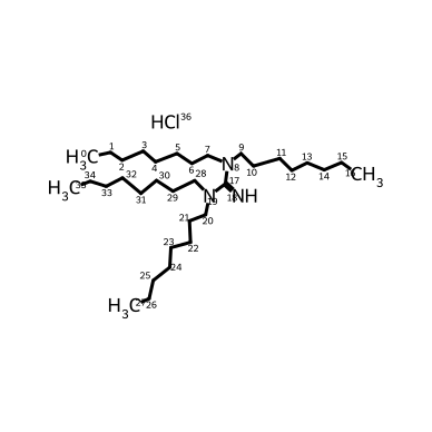 CCCCCCCCN(CCCCCCCC)C(=N)N(CCCCCCCC)CCCCCCCC.Cl